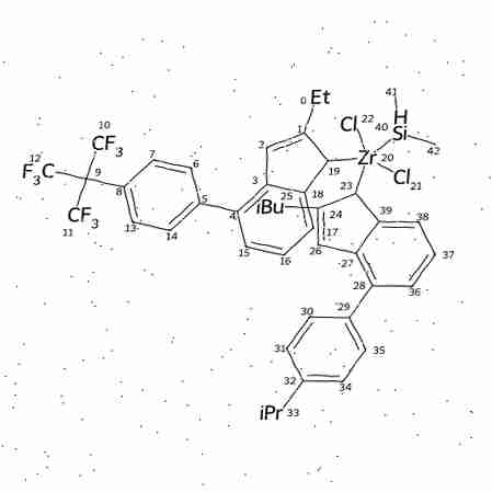 CCC1=Cc2c(-c3ccc(C(C(F)(F)F)(C(F)(F)F)C(F)(F)F)cc3)cccc2[CH]1[Zr]([Cl])([Cl])([CH]1C(C(C)CC)=Cc2c(-c3ccc(C(C)C)cc3)cccc21)[SiH](C)C